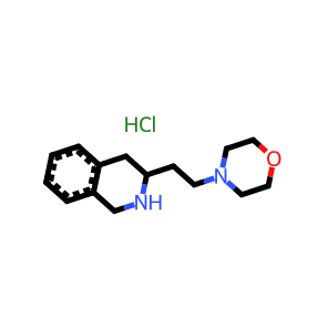 Cl.c1ccc2c(c1)CNC(CCN1CCOCC1)C2